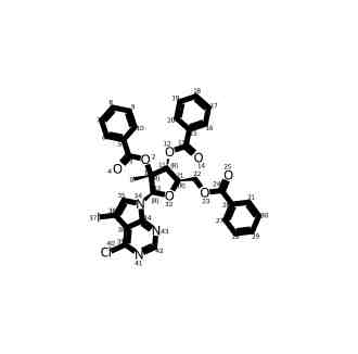 C[C@@]1(OC(=O)c2ccccc2)[C@H](OC(=O)c2ccccc2)[C@@H](COC(=O)c2ccccc2)O[C@H]1n1cc(I)c2c(Cl)ncnc21